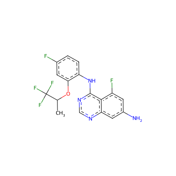 CC(Oc1cc(F)ccc1Nc1ncnc2cc(N)cc(F)c12)C(F)(F)F